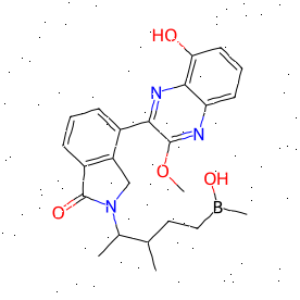 COc1nc2cccc(O)c2nc1-c1cccc2c1CN(C(C)C(C)CCB(C)O)C2=O